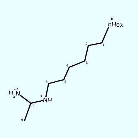 CCCCCCCCCCCCNC(C)N